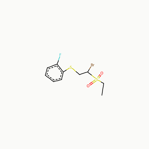 CCS(=O)(=O)C(Br)CSc1ccccc1F